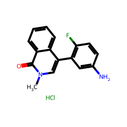 Cl.Cn1cc(-c2cc(N)ccc2F)c2ccccc2c1=O